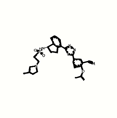 CC1CCN(CCS(=O)(=O)N[C@H]2CCc3c(-c4nnc(-c5ccc(OC(C)C)c(C#N)c5)s4)cccc32)C1